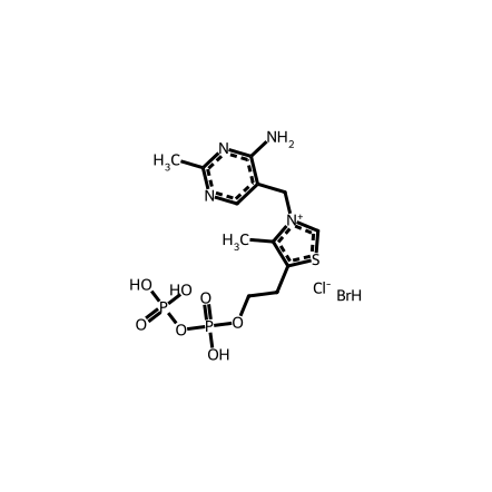 Br.Cc1ncc(C[n+]2csc(CCOP(=O)(O)OP(=O)(O)O)c2C)c(N)n1.[Cl-]